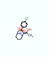 C/C(O)=C1/C(=O)CC2CCCC1N2S(=O)(=O)c1ccc(Cl)cc1